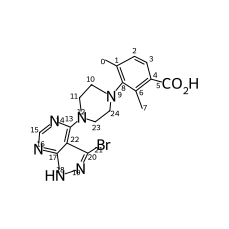 Cc1ccc(C(=O)O)c(C)c1N1CCN(c2ncnc3[nH]nc(Br)c23)CC1